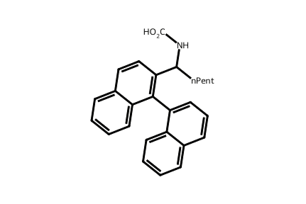 CCCCCC(NC(=O)O)c1ccc2ccccc2c1-c1cccc2ccccc12